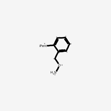 CCCC(C)c1ccccc1CO[SiH3]